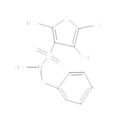 Cc1sc(C)c(S(=O)(=O)N(C)Oc2ccccc2)c1C